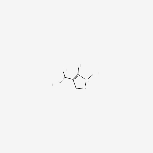 CC1=C(C(C)C)CNN1C